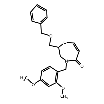 COc1ccc(CN2CC(COCc3ccccc3)OC=CC2=O)c(OC)c1